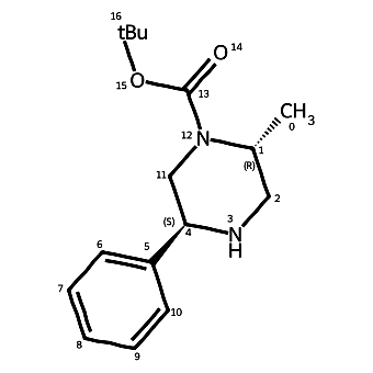 C[C@@H]1CN[C@@H](c2ccccc2)CN1C(=O)OC(C)(C)C